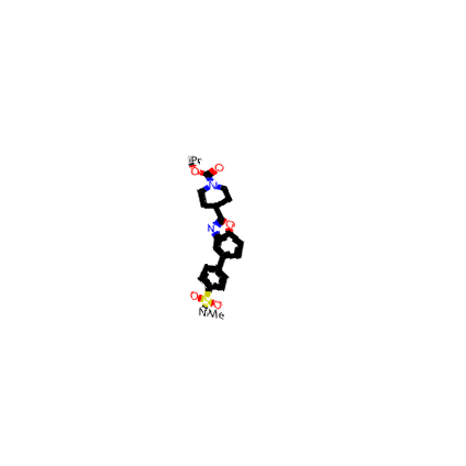 CNS(=O)(=O)c1ccc(-c2ccc3oc(C4CCN(C(=O)OC(C)C)CC4)nc3c2)cc1